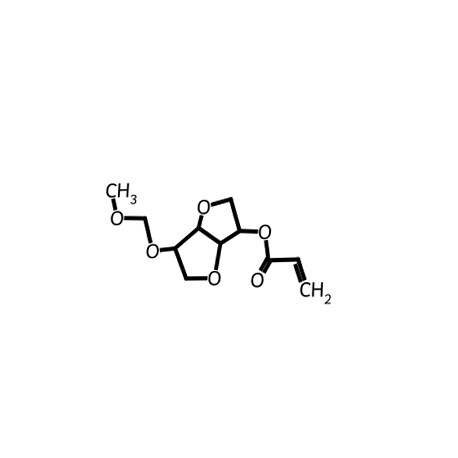 C=CC(=O)OC1COC2C(OCOC)COC12